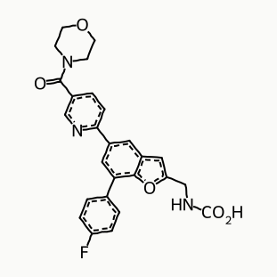 O=C(O)NCc1cc2cc(-c3ccc(C(=O)N4CCOCC4)cn3)cc(-c3ccc(F)cc3)c2o1